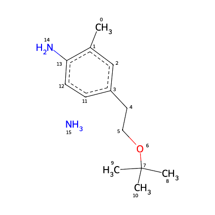 Cc1cc(CCOC(C)(C)C)ccc1N.N